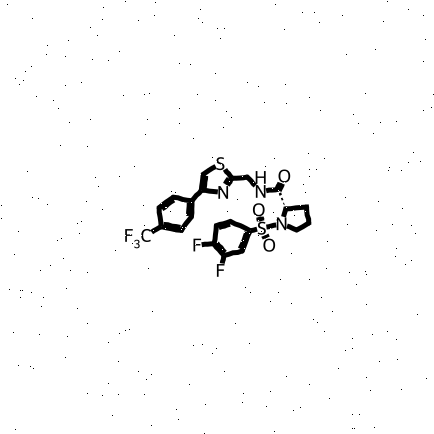 O=C(NCc1nc(-c2ccc(C(F)(F)F)cc2)cs1)[C@@H]1CCCN1S(=O)(=O)c1ccc(F)c(F)c1